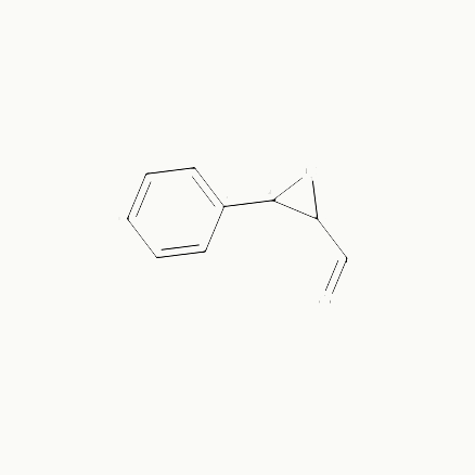 O=[C]C1OC1c1ccccc1